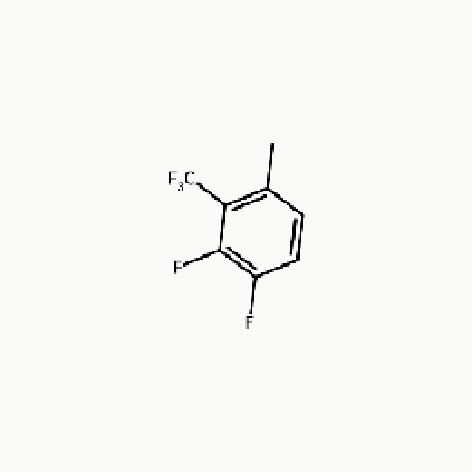 Cc1ccc(F)c(F)c1C(F)(F)F